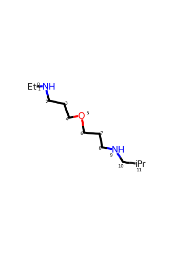 CCNCCCOCCCNCC(C)C